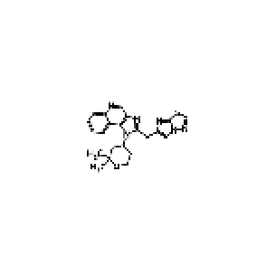 CC1(C)CC(n2c(Cc3cn4ncsc4n3)nc3cnc4ccccc4c32)CCO1